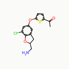 CC(=O)c1ccc(Oc2cc(Cl)c3c(c2)CC(CN)O3)s1